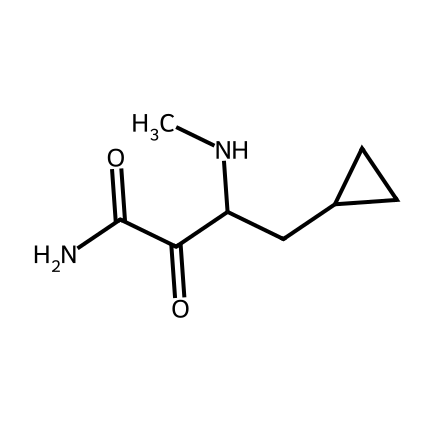 CNC(CC1CC1)C(=O)C(N)=O